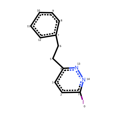 Ic1ccc(CCc2ccccc2)nn1